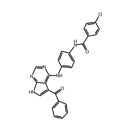 O=C(Nc1ccc(Nc2ncnc3[nH]cc(C(=O)c4ccccc4)c23)cc1)c1ccc(Cl)cc1